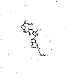 CNC(=O)[C@]1(C)CC[C@@H](Nc2ncc3c(Br)nn(-c4ccc5ncc(OCCOC)cc5c4)c3n2)C1